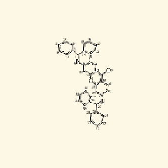 O=c1c2ccc(N=C(c3ccccc3)c3ccccc3)cc2oc2cc(N=C(c3ccccc3)c3ccccc3)ccc12